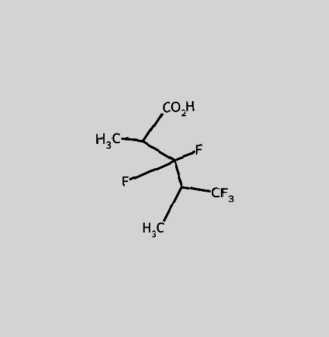 CC(C(=O)O)C(F)(F)C(C)C(F)(F)F